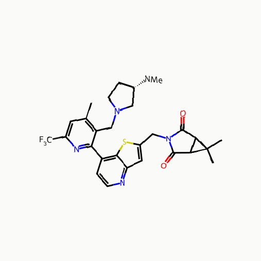 CN[C@H]1CCN(Cc2c(C)cc(C(F)(F)F)nc2-c2ccnc3cc(CN4C(=O)C5C(C4=O)C5(C)C)sc23)C1